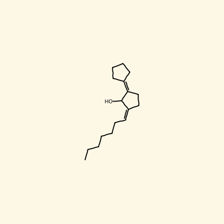 CCCCCC/C=C1/CCC(=C2CCCC2)C1O